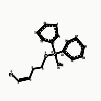 CC/C=C\CCO[Si](c1ccccc1)(c1ccccc1)C(C)(C)C